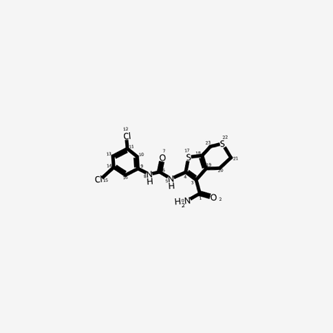 NC(=O)c1c(NC(=O)Nc2cc(Cl)cc(Cl)c2)sc2c1CCSC2